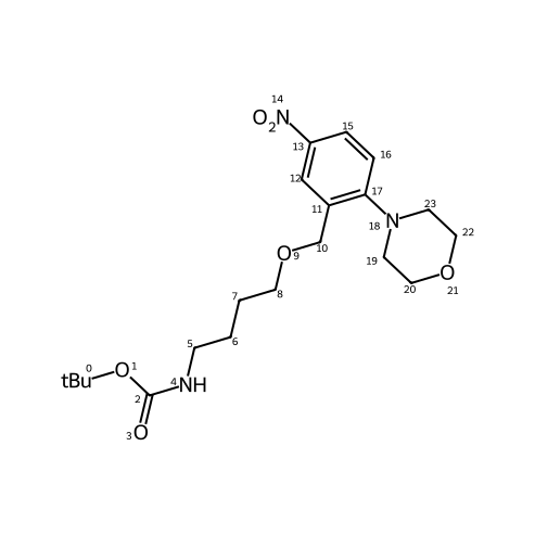 CC(C)(C)OC(=O)NCCCCOCc1cc([N+](=O)[O-])ccc1N1CCOCC1